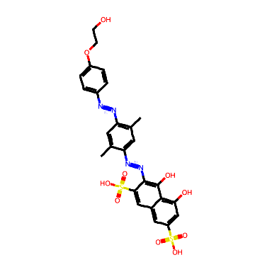 Cc1cc(/N=N/c2c(S(=O)(=O)O)cc3cc(S(=O)(=O)O)cc(O)c3c2O)c(C)cc1/N=N/c1ccc(OCCO)cc1